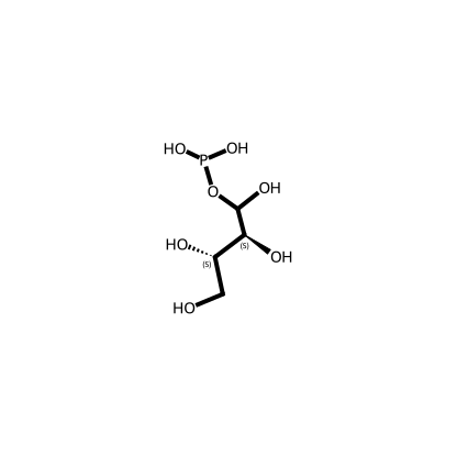 OC[C@H](O)[C@H](O)C(O)OP(O)O